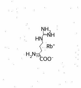 N=C(N)NCCC[C@H](N)C(=O)[O-].[Rb+]